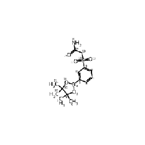 CC1(C)OB(c2cccc(S(=O)(=O)CC(N)=O)c2)OC1(C)C